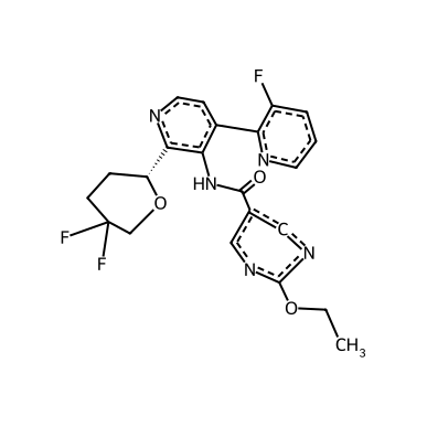 CCOc1ncc(C(=O)Nc2c(-c3ncccc3F)ccnc2[C@H]2CCC(F)(F)CO2)cn1